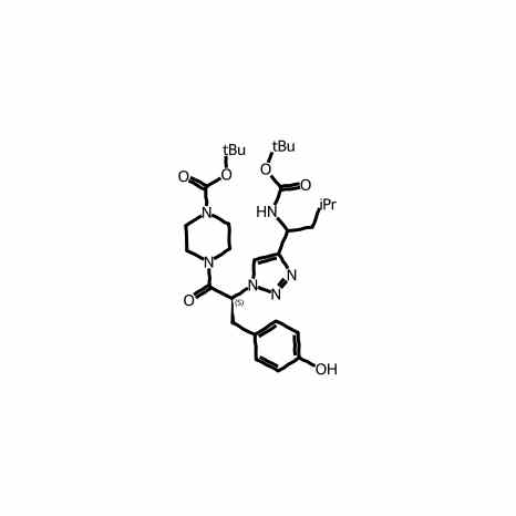 CC(C)CC(NC(=O)OC(C)(C)C)c1cn([C@@H](Cc2ccc(O)cc2)C(=O)N2CCN(C(=O)OC(C)(C)C)CC2)nn1